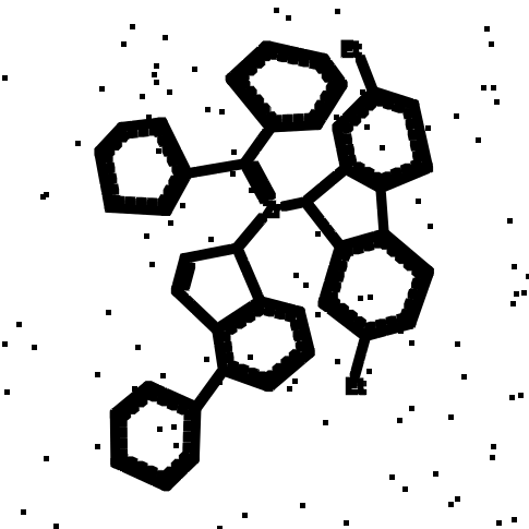 CCc1ccc2c(c1)[CH]([Zr](=[C](c1ccccc1)c1ccccc1)[CH]1C=Cc3c(-c4ccccc4)cccc31)c1cc(CC)ccc1-2